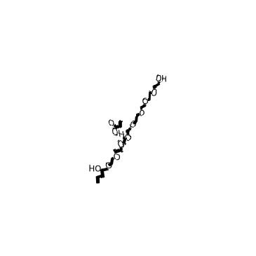 C=CC(=O)O.C=CCC(O)COCCOCCOCCOCCOCCOCCOCCOCCO